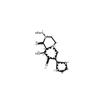 CCCCCN1CCn2cc(-c3nccs3)c(=O)c(O)c2C1=O